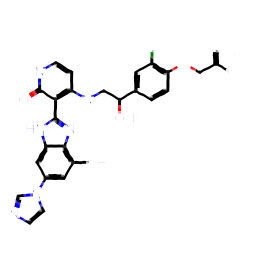 C=C(C)COc1ccc(C(O)CNc2cc[nH]c(=O)c2-c2nc3c(C)cc(-n4ccnc4)cc3[nH]2)cc1Cl